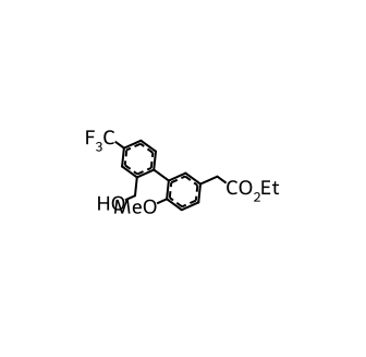 CCOC(=O)Cc1ccc(OC)c(-c2ccc(C(F)(F)F)cc2CO)c1